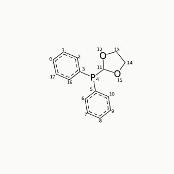 c1ccc(P(c2ccccc2)C2OCCO2)cc1